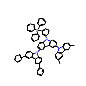 Cc1ccc2c(c1)c1cc(C)ccc1n2-c1ccc2c(c1)c1cc(-n3c4ccc(-c5ccccc5)cc4c4cc(-c5ccccc5)ccc43)ccc1n2-c1cccc([Si](c2ccccc2)(c2ccccc2)c2ccccc2)c1